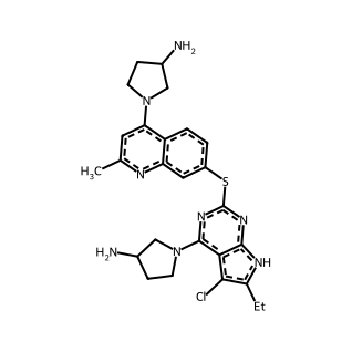 CCc1[nH]c2nc(Sc3ccc4c(N5CCC(N)C5)cc(C)nc4c3)nc(N3CCC(N)C3)c2c1Cl